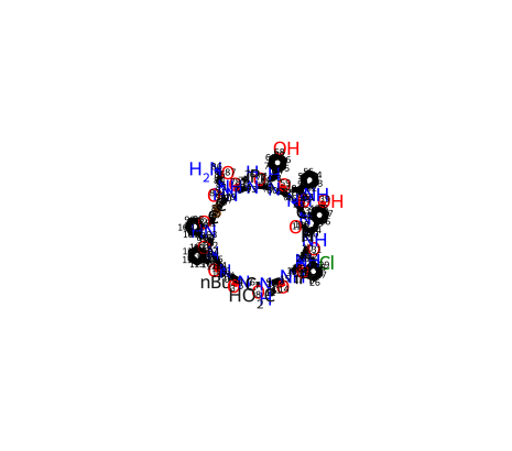 CCCC[C@H]1C(=O)N(C)CC(=O)N[C@@H](CC(=O)O)C(=O)N[C@@H](C(C)C)C(=O)N[C@@H](Cc2ccccc2Cl)C(=O)N[C@H]2Cc3ccc(O)cc3N(CC(=O)N[C@@H](Cc3c[nH]c4ccccc34)C(=O)N[C@@H](CCc3ccc(O)cc3)C(=O)N[C@@H](CC(C)C)C(=O)N[C@H](C(=O)NCC(N)=O)CSCC(=O)N[C@@H](Cc3ccccc3)C(=O)N(C)[C@@H](Cc3ccccc3)C(=O)N1C)C2=O